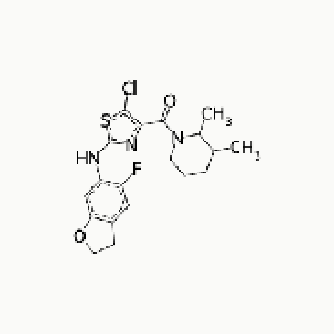 CC1CCCN(C(=O)c2nc(Nc3cc4c(cc3F)CCO4)sc2Cl)C1C